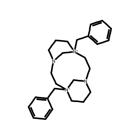 c1ccc(C[N+]23CCCN(CC[N+]4(Cc5ccccc5)CCCN(CC2)C4)C3)cc1